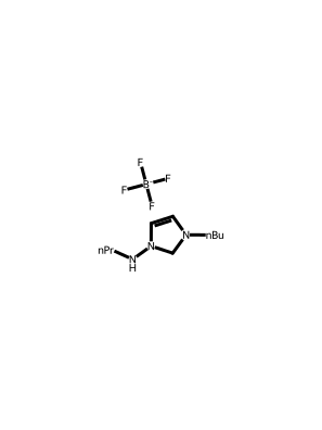 CCCCN1C=CN(NCCC)C1.F[B-](F)(F)F